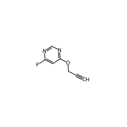 C#CCOc1cc(F)ncn1